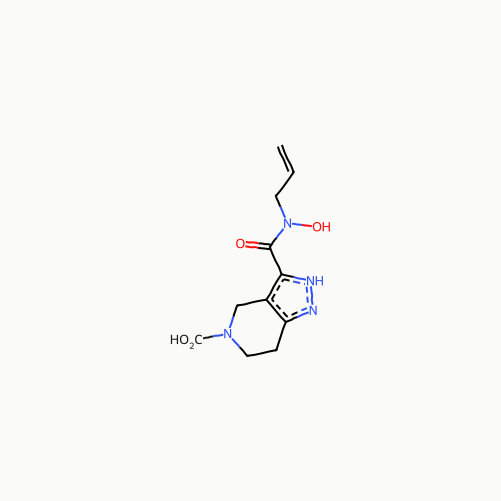 C=CCN(O)C(=O)c1[nH]nc2c1CN(C(=O)O)CC2